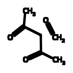 C=O.CC(=O)CC(C)=O